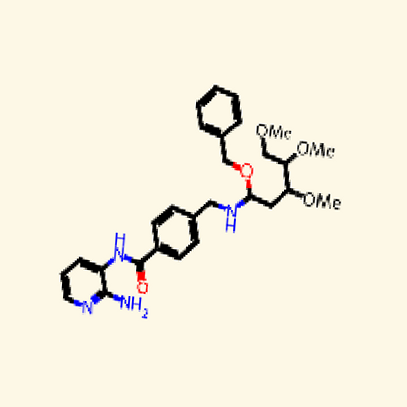 COCC(OC)C(CC(NCc1ccc(C(=O)Nc2cccnc2N)cc1)OCc1ccccc1)OC